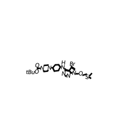 CC(C)(C)OC(=O)N1CCN(C2CCC(Nc3ncnc4c3c(Br)cn4COCC[Si](C)(C)C)CC2)CC1